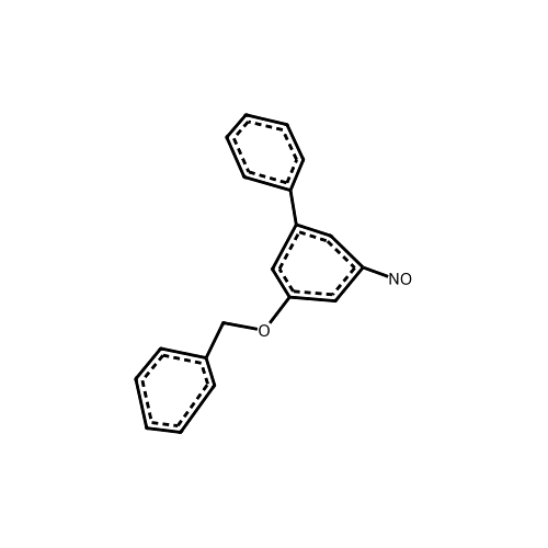 O=Nc1cc(OCc2ccccc2)cc(-c2ccccc2)c1